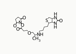 CC(COCCC(=O)ON1C(=O)CCC1=O)NCCCCC1SCC2NC(=O)NC21